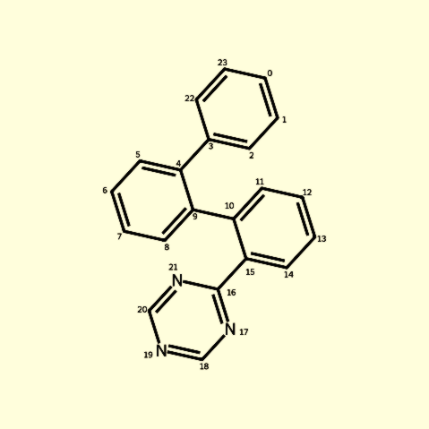 c1ccc(-c2ccccc2-c2ccccc2-c2ncncn2)cc1